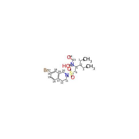 CCC(CC)C(CS(=O)(=O)N1CCc2ccc(Br)cc2C1)N(O)C=O